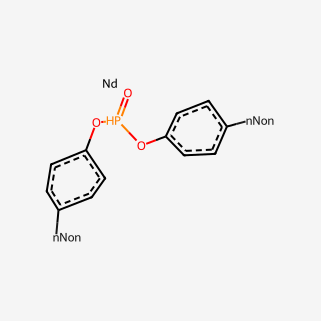 CCCCCCCCCc1ccc(O[PH](=O)Oc2ccc(CCCCCCCCC)cc2)cc1.[Nd]